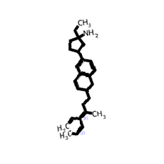 C=CC(/C=C\C)=C(/C)CCC1CCc2cc(C3CCC(N)(CC)C3)ccc2C1